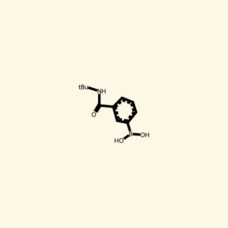 CC(C)(C)NC(=O)c1cccc(B(O)O)c1